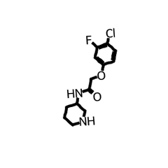 O=C(COc1ccc(Cl)c(F)c1)NC1CCCNC1